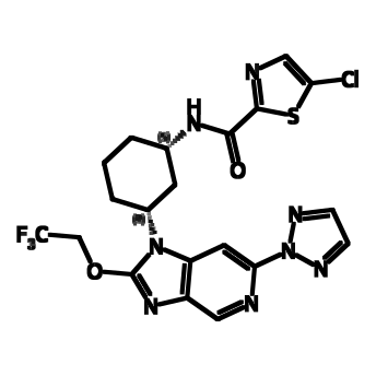 O=C(N[C@H]1CCC[C@@H](n2c(OCC(F)(F)F)nc3cnc(-n4nccn4)cc32)C1)c1ncc(Cl)s1